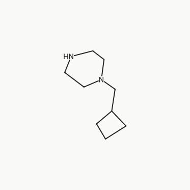 C1CC(CN2CCNCC2)C1